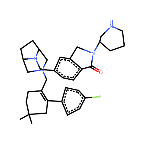 CC1(C)CCC(CN2CC3CCC(C2)N3Cc2ccc3c(c2)CN(C2CCCNC2)C3=O)=C(c2ccc(F)cc2)C1